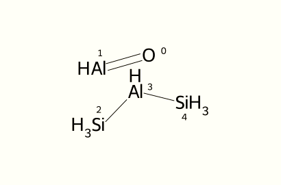 [O]=[AlH].[SiH3][AlH][SiH3]